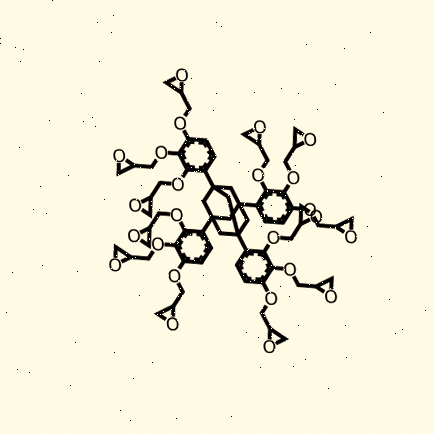 c1cc(C23CC4(c5ccc(OCC6CO6)c(OCC6CO6)c5OCC5CO5)CC(c5ccc(OCC6CO6)c(OCC6CO6)c5OCC5CO5)(C2)CC(c2ccc(OCC5CO5)c(OCC5CO5)c2OCC2CO2)(C3)C4)c(OCC2CO2)c(OCC2CO2)c1OCC1CO1